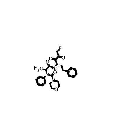 C[C@@H](C(=O)N[C@@H](CCc1ccccc1)C(=O)C(=O)CF)N(C(=O)N1CCOCC1)c1ccccc1